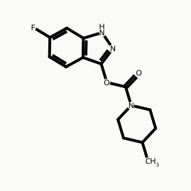 CC1CCN(C(=O)Oc2n[nH]c3cc(F)ccc23)CC1